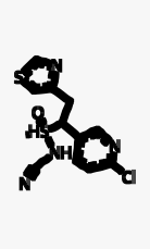 C[SH](=O)(NC#N)C(Cc1cscn1)c1ccc(Cl)nc1